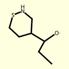 CCC([O])C1CCSNC1